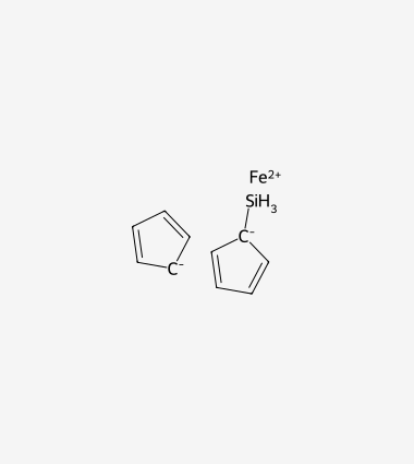 [Fe+2].[SiH3][c-]1cccc1.c1cc[cH-]c1